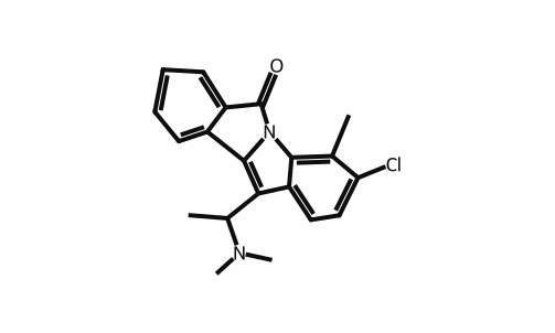 Cc1c(Cl)ccc2c(C(C)N(C)C)c3n(c12)C(=O)c1ccccc1-3